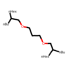 CCCCCCC(CCCC)COCCCOCC(CCCC)CCCCCC